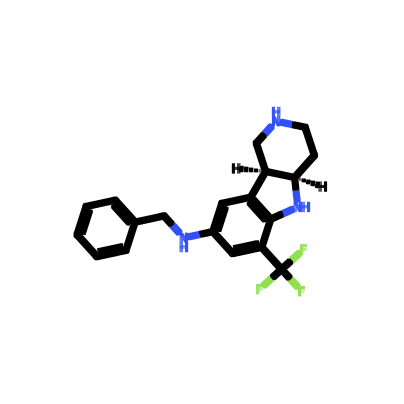 FC(F)(F)c1cc(NCc2ccccc2)cc2c1N[C@@H]1CCNC[C@H]21